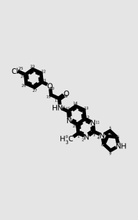 Cc1nc(N2CC3CC2CN3)nc2ccc(NC(=O)COc3ccc(Cl)cc3)nc12